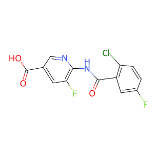 O=C(O)c1cnc(NC(=O)c2cc(F)ccc2Cl)c(F)c1